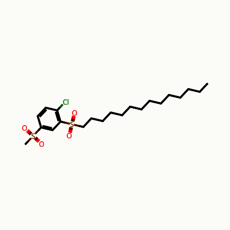 CCCCCCCCCCCCCCS(=O)(=O)c1cc(S(C)(=O)=O)ccc1Cl